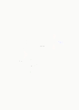 CC1(C)C(COc2ccc(F)cc2C(F)(F)F)C1c1ccc(S(N)(=O)=O)cc1